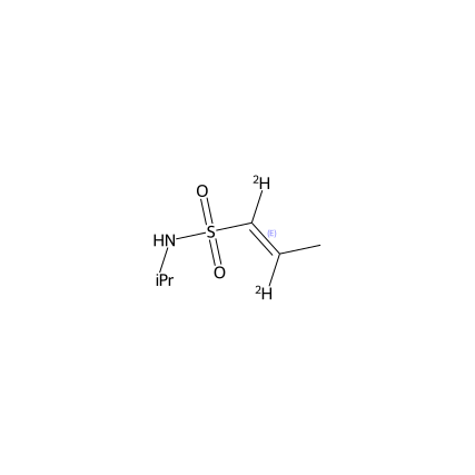 [2H]/C(C)=C(/[2H])S(=O)(=O)NC(C)C